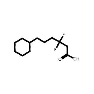 O=C(O)CC(F)(F)CCCC1CCCCC1